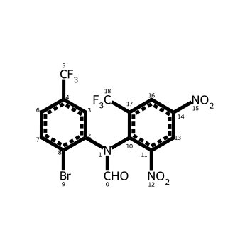 O=CN(c1cc(C(F)(F)F)ccc1Br)c1c([N+](=O)[O-])cc([N+](=O)[O-])cc1C(F)(F)F